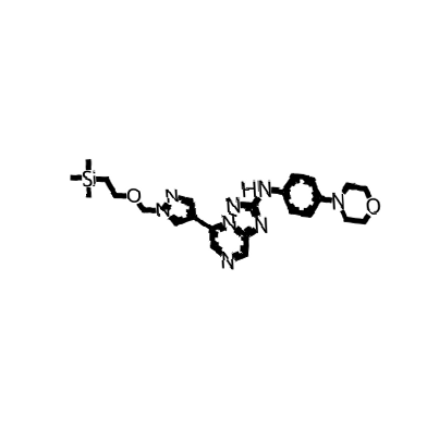 C[Si](C)(C)CCOCn1cc(-c2cncc3nc(Nc4ccc(N5CCOCC5)cc4)nn23)cn1